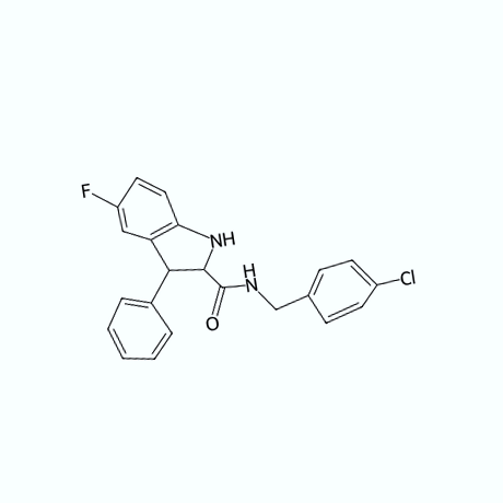 O=C(NCc1ccc(Cl)cc1)C1Nc2ccc(F)cc2C1c1ccccc1